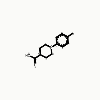 Cc1ccc(N2CCC(C(=O)O)CC2)cc1